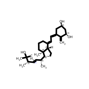 C=C1C(=CC=C2CCC[C@]3(C)[C@@H]([C@H](C)/C=C/[C@H](C)C(C)(C)O)CC[C@@H]23)C[C@@H](O)C[C@@H]1O